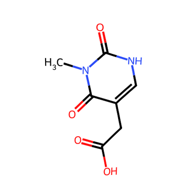 Cn1c(=O)[nH]cc(CC(=O)O)c1=O